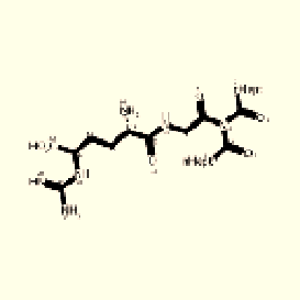 CCCCCCCC(=O)N(C(=O)CCCCCCC)C(=O)CNC(=O)[C@@H](N)CCC(NC(=N)N)C(=O)O